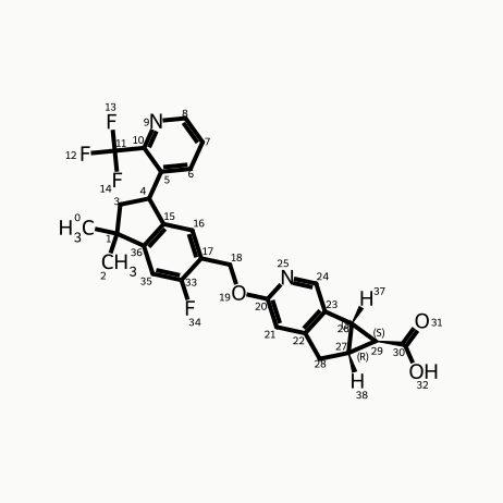 CC1(C)CC(c2cccnc2C(F)(F)F)c2cc(COc3cc4c(cn3)[C@H]3[C@@H](C4)[C@@H]3C(=O)O)c(F)cc21